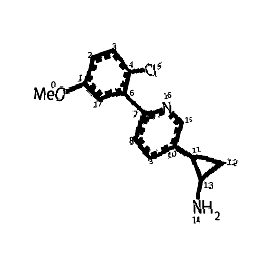 COc1ccc(Cl)c(-c2ccc(C3CC3N)cn2)c1